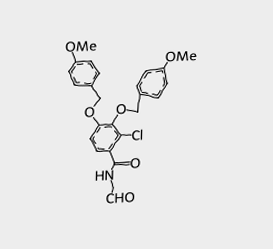 COc1ccc(COc2ccc(C(=O)NCC=O)c(Cl)c2OCc2ccc(OC)cc2)cc1